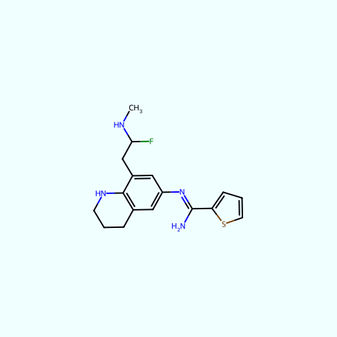 CNC(F)Cc1cc(N=C(N)c2cccs2)cc2c1NCCC2